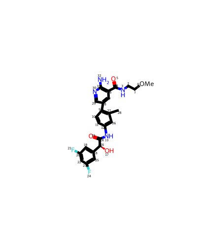 COCCNC(=O)c1cc(-c2ccc(NC(=O)[C@@H](O)c3cc(F)cc(F)c3)cc2C)cnc1N